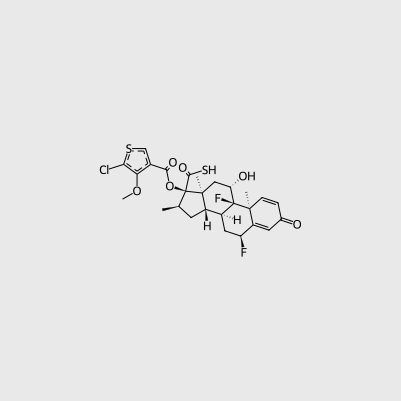 COc1c(C(=O)O[C@]2(C(=O)S)[C@H](C)C[C@H]3[C@@H]4C[C@H](F)C5=CC(=O)C=C[C@]5(C)[C@@]4(F)[C@@H](O)C[C@@]32C)csc1Cl